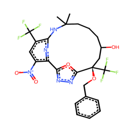 CC1(C)CCCC(O)C[C@](OCc2ccccc2)(C(F)(F)F)c2nnc(o2)-c2nc(c(C(F)(F)F)cc2[N+](=O)[O-])N1